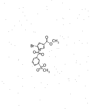 COC(=O)c1cc(Br)n(S(=O)(=O)c2cccc(S(C)(=O)=O)c2)c1